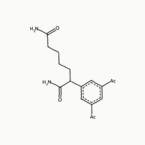 CC(=O)c1cc(C(C)=O)cc(C(CCCCC(N)=O)C(N)=O)c1